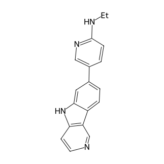 CCNc1ccc(-c2ccc3c(c2)[nH]c2ccncc23)cn1